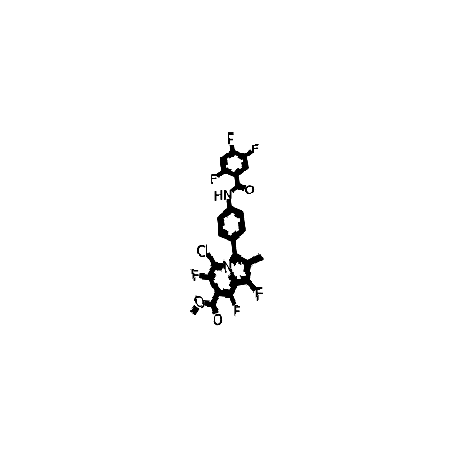 COC(=O)c1c(F)c(Cl)n2c(-c3ccc(NC(=O)c4cc(F)c(F)cc4F)cc3)c(C)c(F)c2c1F